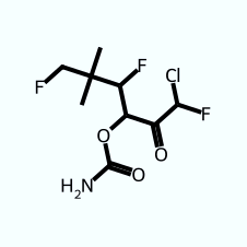 CC(C)(CF)C(F)C(OC(N)=O)C(=O)C(F)Cl